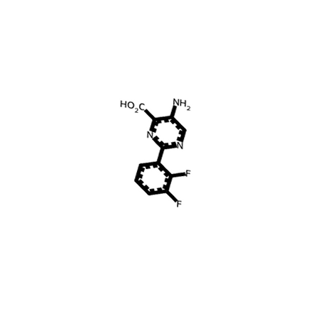 Nc1cnc(-c2cccc(F)c2F)nc1C(=O)O